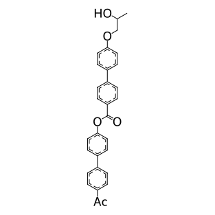 CC(=O)c1ccc(-c2ccc(OC(=O)c3ccc(-c4ccc(OCC(C)O)cc4)cc3)cc2)cc1